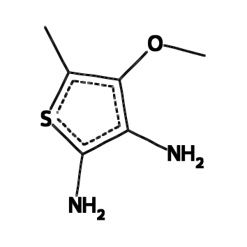 COc1c(C)sc(N)c1N